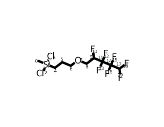 C[Si](Cl)(Cl)CCCOCC(F)C(F)(F)C(F)(F)C(F)F